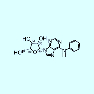 C#C[C@H]1O[C@@H](n2cnc3c(Nc4ccccc4)ncnc32)[C@H](O)[C@@H]1O